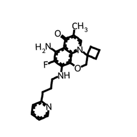 Cc1cn2c3c(c(NCCCc4ccccn4)c(F)c(N)c3c1=O)OCC21CCC1